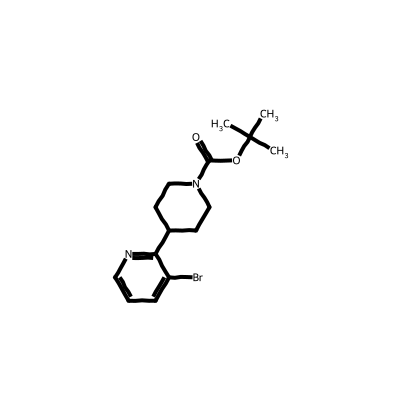 CC(C)(C)OC(=O)N1CCC(c2ncccc2Br)CC1